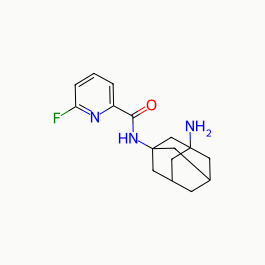 NC12CC3CC(C1)CC(NC(=O)c1cccc(F)n1)(C3)C2